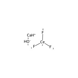 [CaH+].[F][Ce]([F])[F].[OH-]